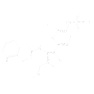 CNCn1nnc(-c2ccc(NS(C)(=O)=O)c(C)n2)c1NC(=O)O[C@H](C)c1ccccc1Cl